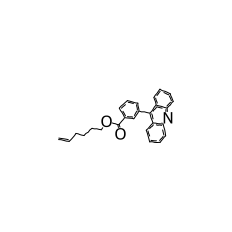 C=CCCCCOC(=O)c1cccc(-c2c3ccccc3nc3ccccc23)c1